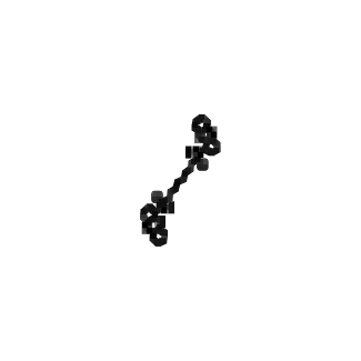 O=C(CCCCCCCCC(=O)Nc1cccc2nc3ccccc3nc12)Nc1cccc2nc3ccccc3nc12